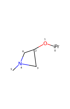 CC(C)OC1CN(C)C1